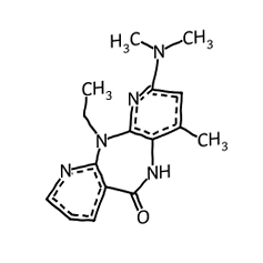 CCN1c2ncccc2C(=O)Nc2c(C)cc(N(C)C)nc21